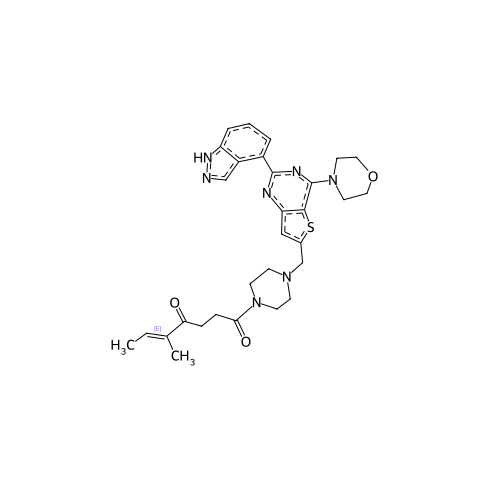 C/C=C(\C)C(=O)CCC(=O)N1CCN(Cc2cc3nc(-c4cccc5[nH]ncc45)nc(N4CCOCC4)c3s2)CC1